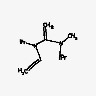 C=CN(C(=C)N(C)C(C)C)C(C)C